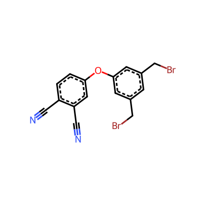 N#Cc1ccc(Oc2cc(CBr)cc(CBr)c2)cc1C#N